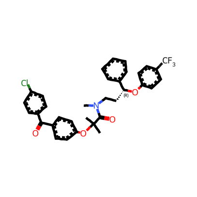 CN(CC[C@@H](Oc1ccc(C(F)(F)F)cc1)c1ccccc1)C(=O)C(C)(C)Oc1ccc(C(=O)c2ccc(Cl)cc2)cc1